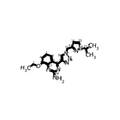 CCOc1cccc2c(-c3cn(Cc4ccn(C(C)C)n4)nn3)nc(N)nc12